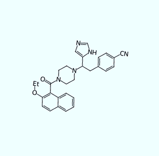 CCOc1ccc2ccccc2c1C(=O)N1CCN(C(Cc2ccc(C#N)cc2)c2cnc[nH]2)CC1